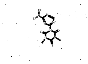 CCN(CC)c1ncnc(-n2c(=O)n(C)c(=S)n(C)c2=S)n1